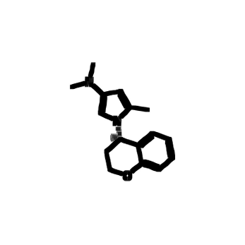 Cc1cc(N(C)C)cn1[C@H]1CCOc2ccccc21